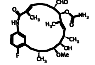 CO[C@H]1C[C@H](C)Cc2cc(ccc2F)NC(=O)/C(C)=C/CC[C@H](C=O)[C@@H](OC(N)=O)/C(C)=C/[C@H](C)[C@H]1O